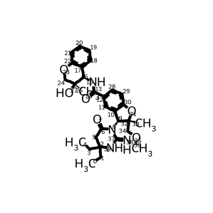 CCC1(CC)CC(=O)N([C@H]2c3cc(C(=O)N[C@@H]4c5ccccc5OC[C@]4(C)O)ccc3O[C@]2(C)COC)C(=N)N1